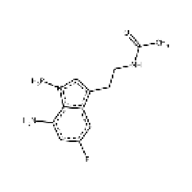 CC(=O)NCCc1cn(P)c2c(N)cc(F)cc12